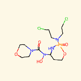 O=C(N1CCOCC1)N(O)C1CCOP(=O)(N(CCCl)CCCl)N1